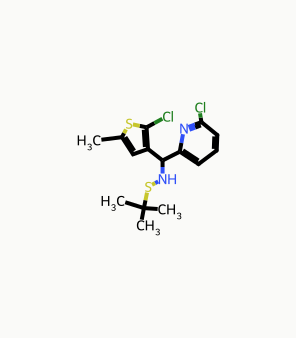 Cc1cc(C(NSC(C)(C)C)c2cccc(Cl)n2)c(Cl)s1